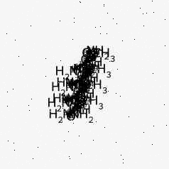 COc1ccc(NC(=O)[C@@H](CCCNCN)NC(=O)c2cc(NC(=O)[C@@H](CCCNC(=N)N)NC(=O)c3cc(NC(=O)[C@@H](CCCNC(=N)N)NC(=O)c4cc(NC(=O)[C@H](N)CC(N)=O)ccc4OC)ccc3OC)ccc2OC)cc1C(N)=O